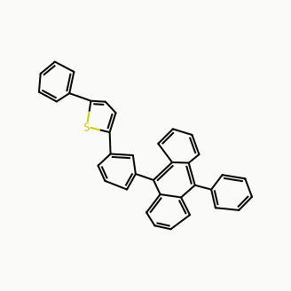 c1ccc(-c2ccc(-c3cccc(-c4c5ccccc5c(-c5ccccc5)c5ccccc45)c3)s2)cc1